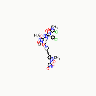 COc1ncc(-c2nc3c(n2CCCC(=O)N2CCC(C#Cc4ccc5c(c4)n(C)c(=O)n5C4CCC(=O)NC4=O)CC2)[C@@H](c2ccc(Cl)cc2)N(c2cc(Cl)cn(C)c2=O)C3=O)c(OC)n1